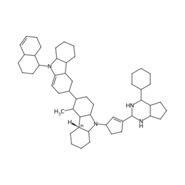 CC1C(C2CC=C3C(C2)C2CCCCC2N3C2CCCC3C=CCCC32)CCC2C1[C@H]1CCCCC1N2C1C=C(C2NC3CCCC3C(C3CCCCC3)N2)CC1